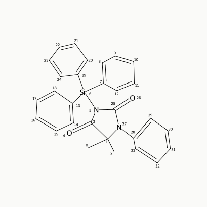 CC1(C)C(=O)N([Si](c2ccccc2)(c2ccccc2)c2ccccc2)C(=O)N1c1ccccc1